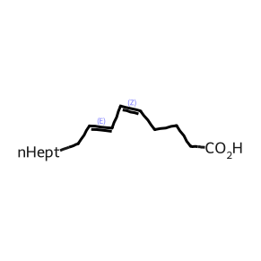 CCCCCCCC/C=C/C=C\CCCC(=O)O